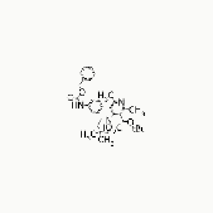 Cc1nc(C)c(C(OC(C)(C)C)C(=O)O)c(N2CCC(C)(C)CC2)c1-c1ccc(NC(=O)OCc2ccccc2)cc1